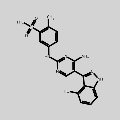 Cc1ccc(Nc2ncc(-c3n[nH]c4cccc(O)c34)c(N)n2)cc1S(C)(=O)=O